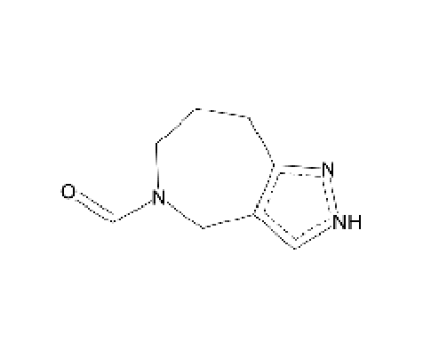 O=CN1CCCc2n[nH]cc2C1